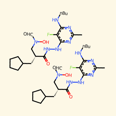 CCCCNc1nc(C)nc(NNC(=O)[C@H](CC2CCCC2)CN(O)C=O)c1F.CCCCNc1nc(C)nc(NNC(=O)[C@H](CC2CCCC2)CN(O)C=O)c1F